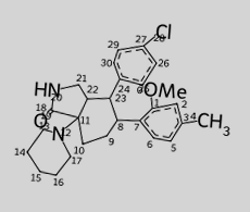 COc1cc(C)ccc1C1CCC2(N3CCCCC3)C(=O)NCC2C1c1ccc(Cl)cc1